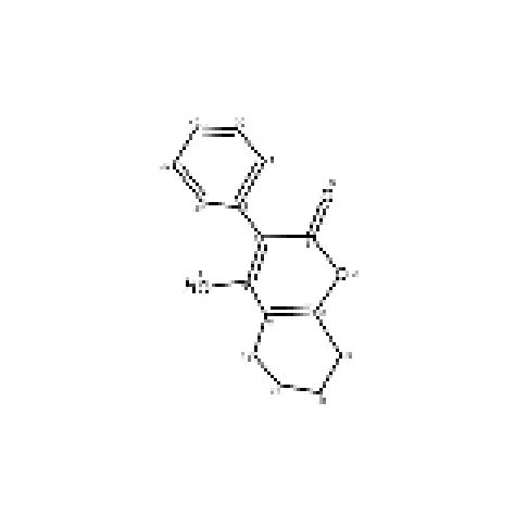 O=c1oc2c(c(O)c1-c1ccccc1)CCCC2